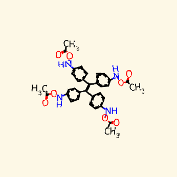 CC(=O)ONc1ccc(C(=C(c2ccc(NOC(C)=O)cc2)c2ccc(NOC(C)=O)cc2)c2ccc(NOC(C)=O)cc2)cc1